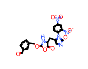 O=Cc1cccc(COC2NC(Cc3cncn3-c3ccc([N+](=O)[O-])cc3[N+](=O)[O-])C(=O)O2)c1